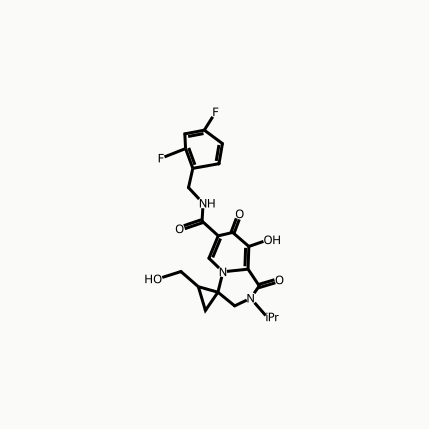 CC(C)N1CC2(CC2CO)n2cc(C(=O)NCc3ccc(F)cc3F)c(=O)c(O)c2C1=O